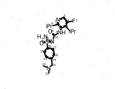 CC(C)c1ncc(F)c(C(C)C)c1NC(=O)N=[S@](N)(=O)c1ccc(CN(C)C)cc1